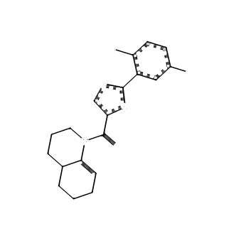 O=C(c1csc(-c2cc(Cl)ccc2Cl)n1)N1CCCC2CCCC=C21